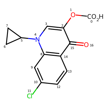 O=C(O)Oc1cn(C2CC2)c2cc(Cl)ccc2c1=O